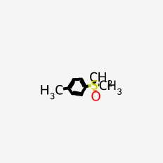 C=S(C)(=O)c1ccc(C)cc1